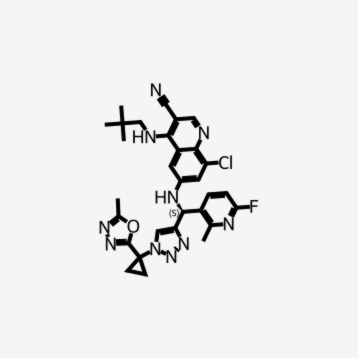 Cc1nnc(C2(n3cc([C@@H](Nc4cc(Cl)c5ncc(C#N)c(NCC(C)(C)C)c5c4)c4ccc(F)nc4C)nn3)CC2)o1